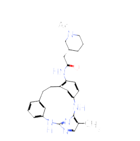 CC(=O)N1CCC[C@@H](CC(=O)Nc2ccc3cc2CCc2cccc(c2)Nc2ncc(C)c(n2)N3)C1